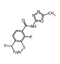 CCCSc1c(C(F)F)ccc(C(=O)Nc2nnc(C)o2)c1F